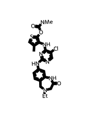 CCN1CC(=O)Nc2cc(Nc3ncc(Cl)c(Nc4c(C)csc4OC(=O)NC)n3)ccc2C1